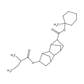 CCC(C)C(=O)OC1CC2CC1C1C3CC(CC3C(=O)OC3(C)CCCCC3)C21